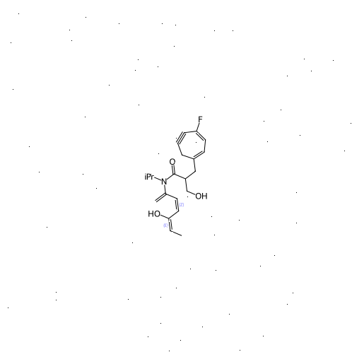 C=C(/C=C\C(O)=C/C)N(C(=O)C(CO)CC1=CC=C(F)C#CC1)C(C)C